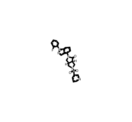 O=C1[C@@H]2CN(S(=O)(=O)c3cccnc3)C[C@@H]2CN1c1cccc2c1cnn2-c1ccccc1F